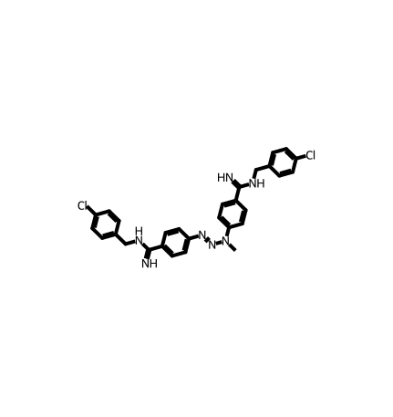 CN(/N=N/c1ccc(C(=N)NCc2ccc(Cl)cc2)cc1)c1ccc(C(=N)NCc2ccc(Cl)cc2)cc1